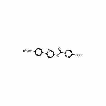 CCCCCCCCc1ccc(C(=O)Oc2cnc(-c3ccc(CCCCC)cc3)nc2)cc1